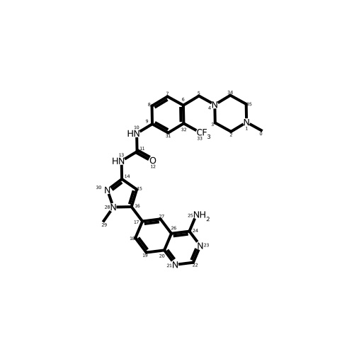 CN1CCN(Cc2ccc(NC(=O)Nc3cc(-c4ccc5ncnc(N)c5c4)n(C)n3)cc2C(F)(F)F)CC1